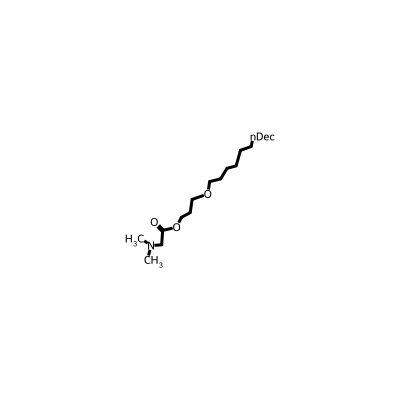 CCCCCCCCCCCCCCCCOCCCOC(=O)CN(C)C